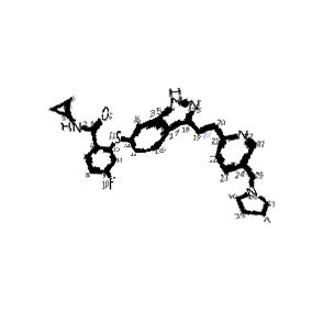 O=C(NC1CC1)c1ccc(F)cc1Sc1ccc2c(/C=C/c3ccc(CN4CCCC4)cn3)n[nH]c2c1